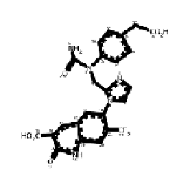 NC(=O)N(Cc1nccn1-c1cc2cc(C(=O)O)c(=O)[nH]c2cc1C(F)(F)F)c1ccc(CC(=O)O)cc1